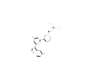 CC(C)(C)OC(=O)N1CCC=C(c2cc(Cl)cc(-c3cnn4ccc(Cl)cc34)n2)C1